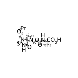 CC(C)OCCn1c(=S)[nH]c(=O)c2c1ccn2COC(=O)N[C@H](C(=O)O)C(C)C